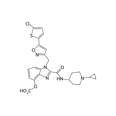 O=C(O)Oc1cccc2c1nc(C(=O)NC1CCN(C3CC3)CC1)n2Cc1cc(-c2ccc(Cl)s2)on1